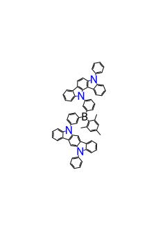 Cc1cc(C)c(B(c2cccc(-n3c4ccccc4c4cc5c(cc43)c3ccccc3n5-c3ccccc3)c2)c2cccc(-n3c4ccccc4c4ccc5c(c6ccccc6n5-c5ccccc5)c43)c2)c(C)c1